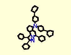 c1ccc(-c2ccc(N(c3ccc(-c4ccccc4)cc3)c3cccc4c3cc(-c3ccccc3)n3nc(-c5ccccc5)c(-c5ccccc5)c43)cc2)cc1